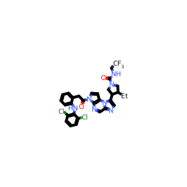 CCC1CN(C(=O)NCC(F)(F)F)CC1c1cnc2cnc3c(ccn3C(=O)Cc3ccccc3Nc3c(Cl)cccc3Cl)n12